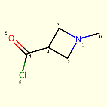 CN1CC(C(=O)Cl)C1